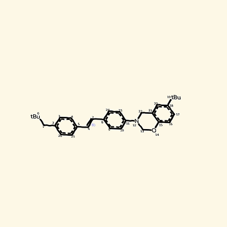 CC(C)(C)Cc1ccc(/C=C/c2ccc(N3COc4ccc(C(C)(C)C)cc4C3)cc2)cc1